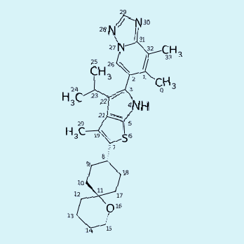 Cc1c(-c2[nH]c3sc([C@H]4CC[C@@]5(CCCCO5)CC4)c(C)c3c2C(C)C)cn2ncnc2c1C